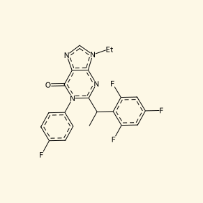 CCn1cnc2c(=O)n(-c3ccc(F)cc3)c(C(C)c3c(F)cc(F)cc3F)nc21